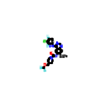 COc1cc2ncnc(Nc3ccc(F)c(Cl)c3F)c2cc1NC(=O)N1CCC(COC(F)F)CC1